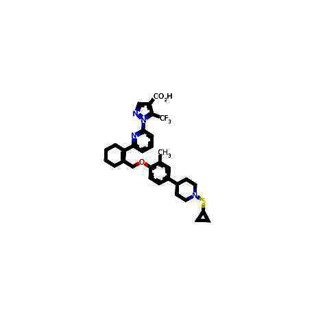 Cc1cc(C2CCN(SC3CC3)CC2)ccc1OCC1=C(c2cccc(-n3ncc(C(=O)O)c3C(F)(F)F)n2)CCCC1